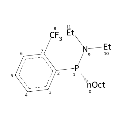 CCCCCCCC[P@](c1ccccc1C(F)(F)F)N(CC)CC